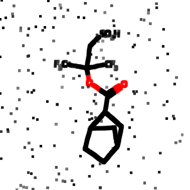 O=C(OC(CS(=O)(=O)O)(C(F)(F)F)C(F)(F)F)C1CC2CCC1C2